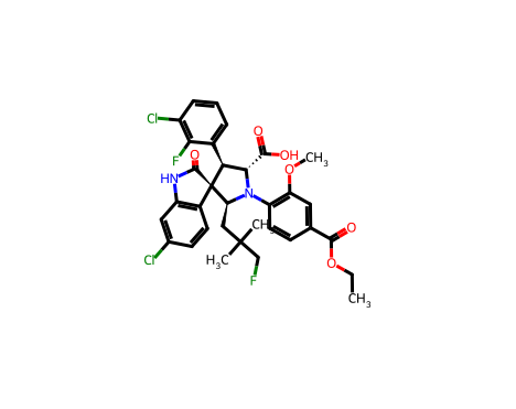 CCOC(=O)c1ccc(N2[C@@H](CC(C)(C)CF)[C@@]3(C(=O)Nc4cc(Cl)ccc43)[C@@H](c3cccc(Cl)c3F)[C@@H]2C(=O)O)c(OC)c1